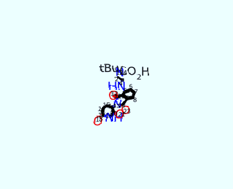 CC(C)(C)N(CCNc1cccc2c1C(=O)N(C1CCC(=O)NC1=O)C2=O)C(=O)O